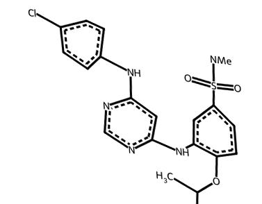 CNS(=O)(=O)c1ccc(OC(C)C(C)C)c(Nc2cc(Nc3ccc(Cl)cc3)ncn2)c1